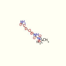 CC(C)C1CC(=O)N(CCC(=O)NCCOCCOCCOCCOCCC(N)=O)C1=O